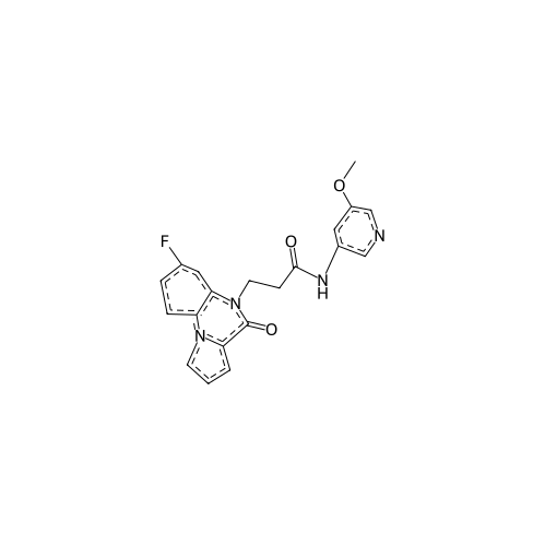 COc1cncc(NC(=O)CCn2c(=O)c3cccn3c3ccc(F)cc32)c1